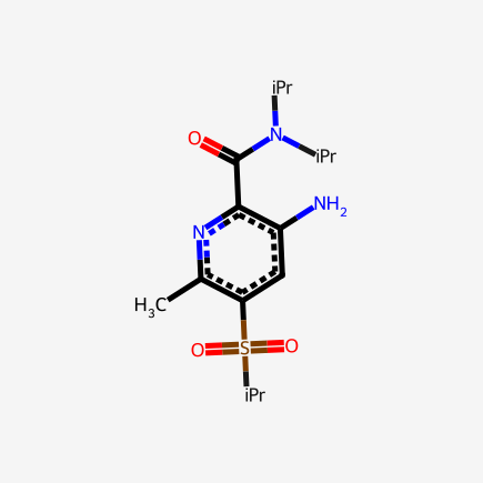 Cc1nc(C(=O)N(C(C)C)C(C)C)c(N)cc1S(=O)(=O)C(C)C